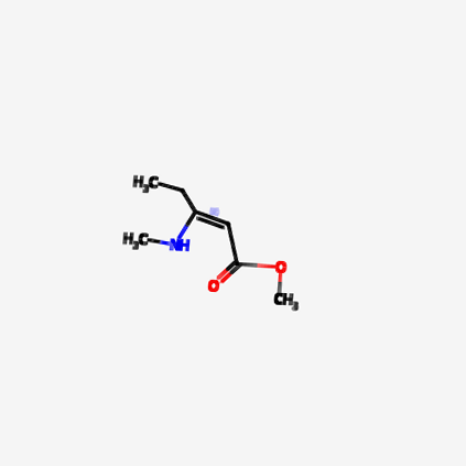 CC/C(=C/C(=O)OC)NC